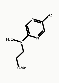 COCCN(C)c1cnc(C(C)=O)cn1